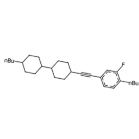 CCCCc1ccc(C#CC2CCC(C3CCC(CCCC)CC3)CC2)cc1F